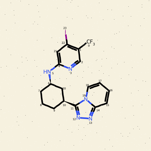 FC(F)(F)c1cnc(N[C@@H]2CCC[C@H](c3nnc4ccccn34)C2)cc1I